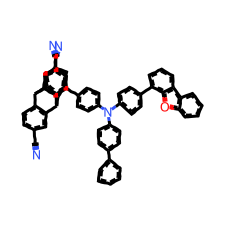 N#Cc1ccc2c(c1)C1c3ccc(C#N)cc3C2c2c(-c3ccc(N(c4ccc(-c5ccccc5)cc4)c4ccc(-c5cccc6c5oc5ccccc56)cc4)cc3)cc(C#N)cc21